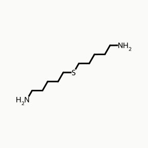 NCCCCCSCCCCCN